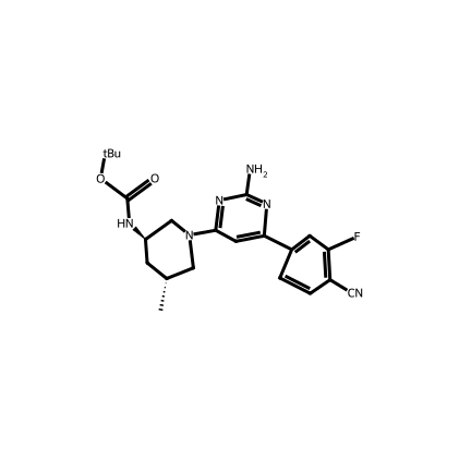 C[C@@H]1C[C@@H](NC(=O)OC(C)(C)C)CN(c2cc(-c3ccc(C#N)c(F)c3)nc(N)n2)C1